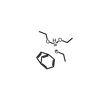 C1=Cc2cccc1c2.CCO[SiH](OCC)OCC